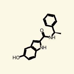 C[C@@H](NC(=O)c1cc2cc(O)ccc2[nH]1)c1ccccc1